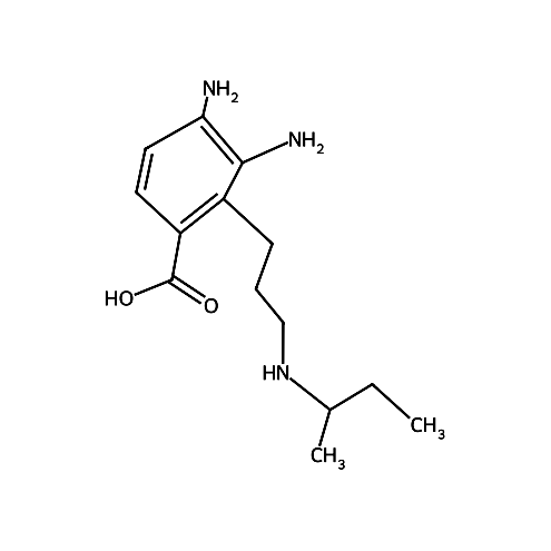 CCC(C)NCCCc1c(C(=O)O)ccc(N)c1N